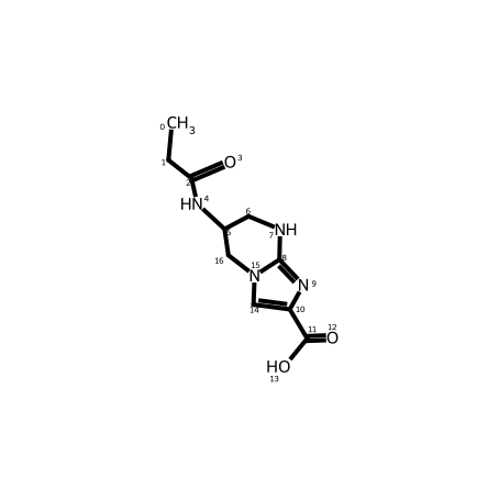 CCC(=O)NC1CNc2nc(C(=O)O)cn2C1